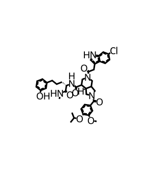 CNC(=O)[C@H](CCCc1cccc(O)c1)NC(=O)C1CN(C(=O)Cc2c[nH]c3cc(Cl)ccc23)CC2CN(C(=O)c3ccc(OC(C)C)c(OC)c3)C[C@@H]21